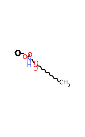 CCCCCCCCCCCC(=O)OCCNC(=O)OCc1ccccc1